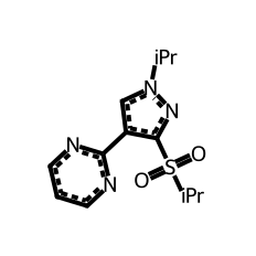 CC(C)n1cc(-c2ncccn2)c(S(=O)(=O)C(C)C)n1